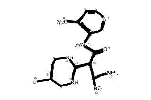 COc1ccncc1NC(=O)C(C(N)N=O)C1NCC(Cl)CN1